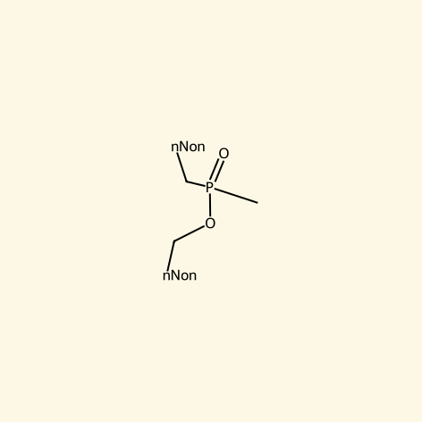 CCCCCCCCCCOP(C)(=O)CCCCCCCCCC